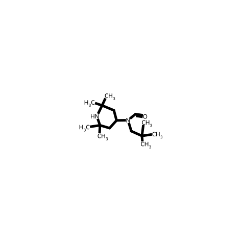 CC(C)(C)CN(C=O)C1CC(C)(C)NC(C)(C)C1